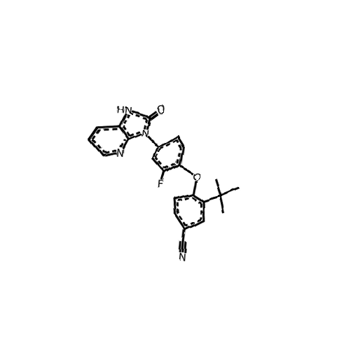 CC(C)(C)c1cc(C#N)ccc1Oc1ccc(-n2c(=O)[nH]c3cccnc32)cc1F